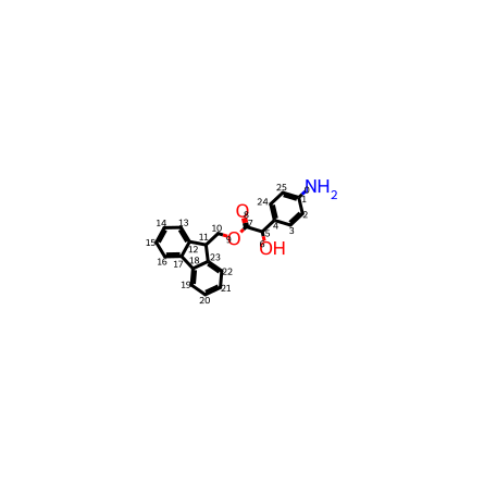 Nc1ccc(C(O)C(=O)OCC2c3ccccc3-c3ccccc32)cc1